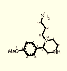 COc1ccc(C2CNCCN2CCCN)cc1